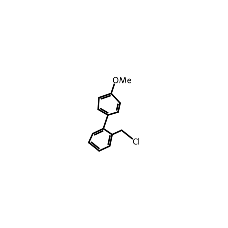 COc1ccc(-c2ccccc2CCl)cc1